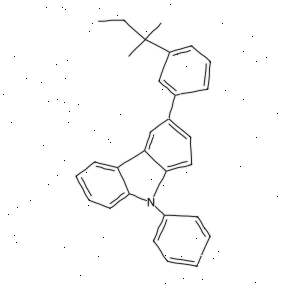 CCC(C)(C)c1cccc(-c2ccc3c(c2)c2ccccc2n3-c2ccccc2)c1